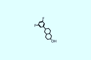 OC1CCC2CC(c3cc(F)cc(F)c3)CCC2C1